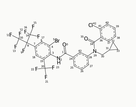 O=C(Nc1c(Br)cc(C(F)(C(F)(F)F)C(F)(F)F)cc1C(F)(F)F)c1cccc(N(CC2CC2)C(=O)c2ccccc2Cl)c1